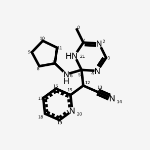 CC1=NC=NC(NC2CCCC2)(C(C#N)c2ccccn2)N1